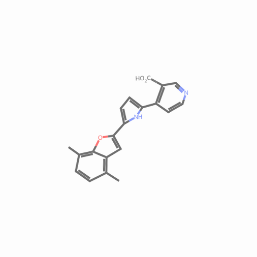 Cc1ccc(C)c2oc(-c3ccc(-c4ccncc4C(=O)O)[nH]3)cc12